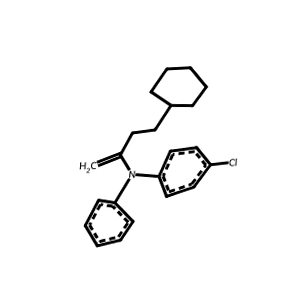 C=C(CCC1CCCCC1)N(c1ccccc1)c1ccc(Cl)cc1